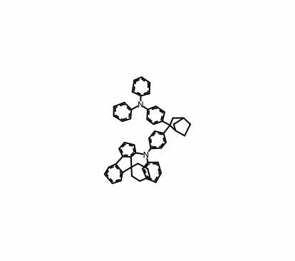 c1ccc(N(c2ccccc2)c2ccc(C3(c4ccc(N(c5ccccc5)c5cccc6c5C5(CCCCC5)c5ccccc5-6)cc4)CC4CCC3C4)cc2)cc1